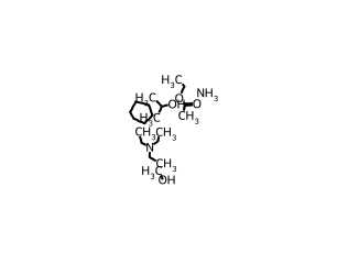 C1CCCCC1.CC(C)O.CCN(CC)CC.CCOC(C)=O.CO.N